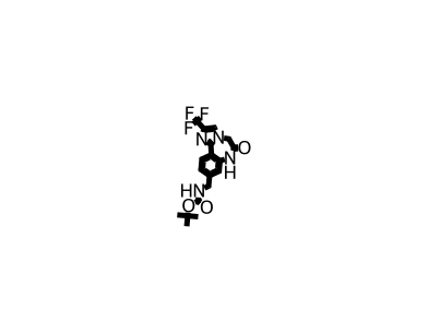 CC(C)(C)OC(=O)NCc1ccc2c(c1)NC(=O)Cn1cc(C(F)(F)F)nc1-2